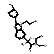 CC(=O)c1ccc(-c2nc3ccc(C(C)(C)C(=O)N(CC(C)C)CC(C)C)cc3n2CCN)cc1